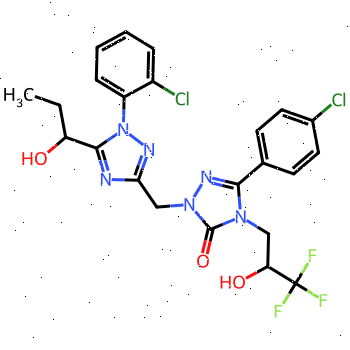 CCC(O)c1nc(Cn2nc(-c3ccc(Cl)cc3)n(CC(O)C(F)(F)F)c2=O)nn1-c1ccccc1Cl